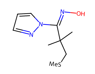 CSCC(C)(C)C(=NO)n1cccn1